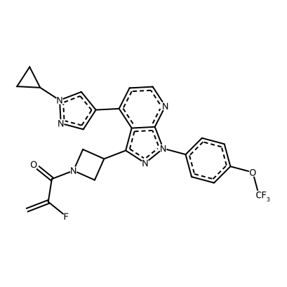 C=C(F)C(=O)N1CC(c2nn(-c3ccc(OC(F)(F)F)cc3)c3nccc(-c4cnn(C5CC5)c4)c23)C1